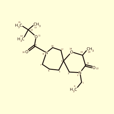 CCN1CC2(CCCN(C(=O)OC(C)(C)C)CC2)OC(C)C1=O